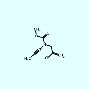 C=C(Cl)CN([N+]#CC)C(=O)OC